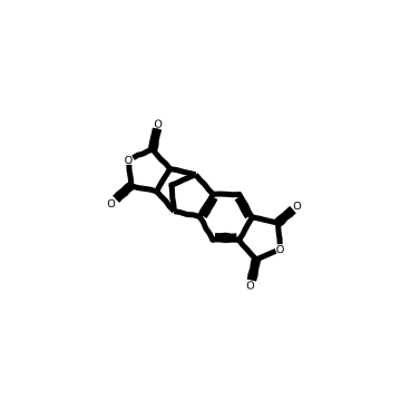 O=C1OC(=O)c2cc3c(cc21)C1CC3C2C(=O)OC(=O)C12